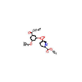 COC(=O)c1cc(Oc2ccc(C(=O)OC(C)(C)C)nc2)cc(OC(C)C)c1